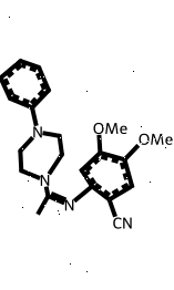 COc1cc(C#N)c(N=C(C)N2CCN(c3ccccc3)CC2)cc1OC